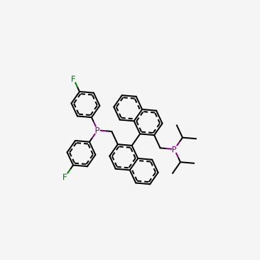 CC(C)P(Cc1ccc2ccccc2c1-c1c(CP(c2ccc(F)cc2)c2ccc(F)cc2)ccc2ccccc12)C(C)C